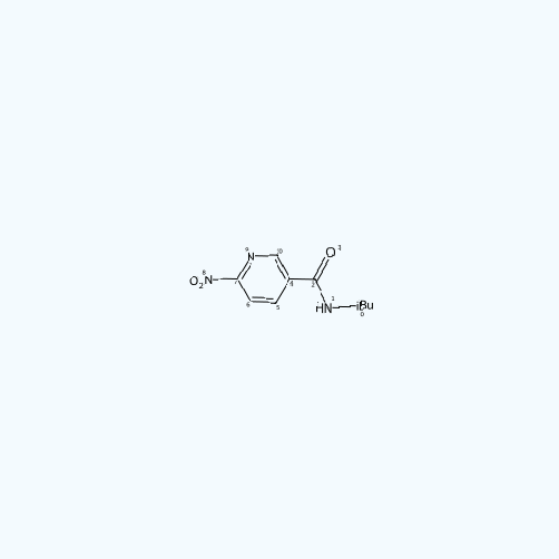 CCC(C)NC(=O)c1ccc([N+](=O)[O-])nc1